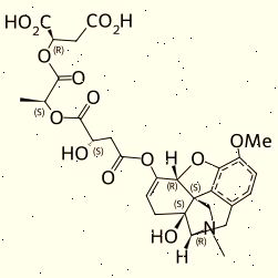 COc1ccc2c3c1O[C@H]1C(OC(=O)C[C@H](O)C(=O)O[C@@H](C)C(=O)O[C@H](CC(=O)O)C(=O)O)=CC[C@@]4(O)[C@@H](C2)N(C)CC[C@]314